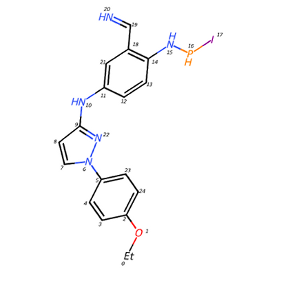 CCOc1ccc(-n2ccc(Nc3ccc(NPI)c(C=N)c3)n2)cc1